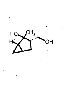 C[C@@]1(O)[C@H](CO)CC2C[C@@H]21